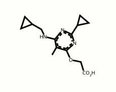 Cc1c(NCC2CC2)nc(C2CC2)nc1OCC(=O)O